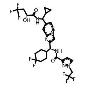 O=C(N[C@H](c1cn2ncc(C(NC(=O)[C@H](O)CC(F)(F)F)C3CC3)cc2n1)C1CCC(F)(F)CC1)c1ccn(CC(F)(F)F)n1